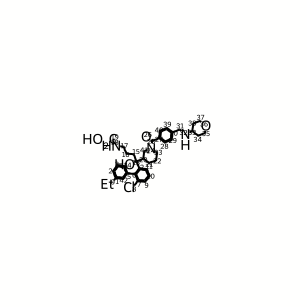 CCc1cccc(-c2c(Cl)cccc2C(O)(CCCNC(=O)O)C2CCCN(C(=O)c3ccc(CNC4CCOCC4)cc3)C2)c1